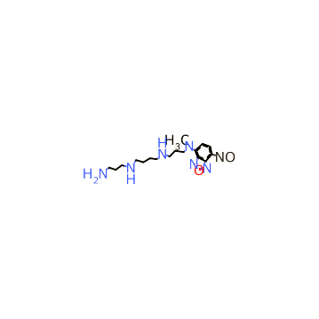 CN(CCCNCCCCNCCCN)c1ccc(N=O)c2nonc12